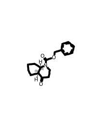 O=C1CCN(C(=O)OCc2ccccc2)[C@@H]2CCCC[C@H]12